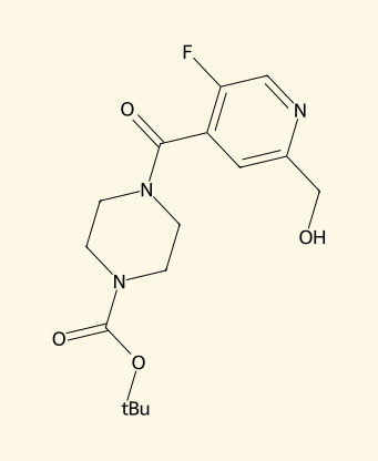 CC(C)(C)OC(=O)N1CCN(C(=O)c2cc(CO)ncc2F)CC1